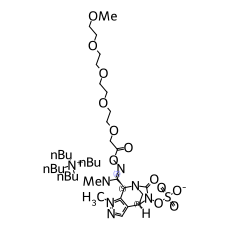 CCCC[N+](CCCC)(CCCC)CCCC.CN/C(=N\OC(=O)COCCOCCOCCOCCOC)[C@@H]1c2c(cnn2C)[C@@H]2CN1C(=O)N2OS(=O)(=O)[O-]